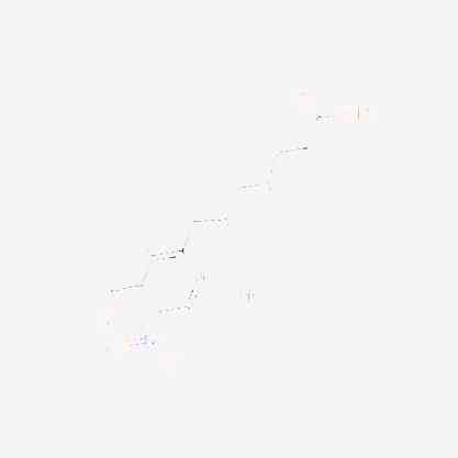 Cc1c(CCCCCCC(=O)O)ccc([N+](=O)[O-])c1C=O.Cl